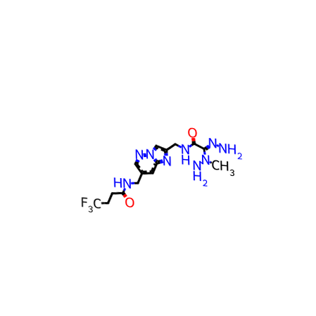 CN(N)/C(=N\N)C(=O)NCc1cn2ncc(CNC(=O)CCC(F)(F)F)cc2n1